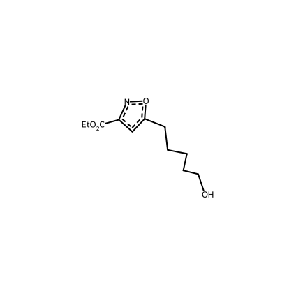 CCOC(=O)c1cc(CCCCCO)on1